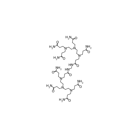 NC(=O)CCN(CCC(N)=O)CCN(CCC(N)=O)CCN(CCC(N)=O)CCC(=O)NCNC(=O)CCN(CCC(N)=O)CCN(CCC(N)=O)CCN(CCC(N)=O)CCC(N)=O